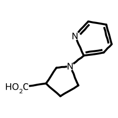 O=C(O)C1CCN(c2ccccn2)C1